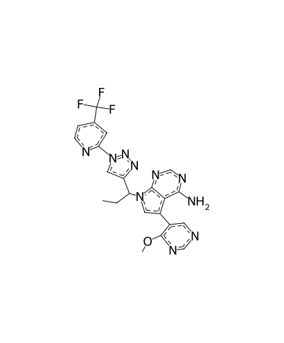 CCC(c1cn(-c2cc(C(F)(F)F)ccn2)nn1)n1cc(-c2cncnc2OC)c2c(N)ncnc21